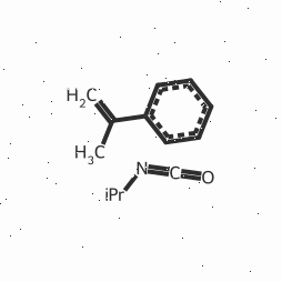 C=C(C)c1ccccc1.CC(C)N=C=O